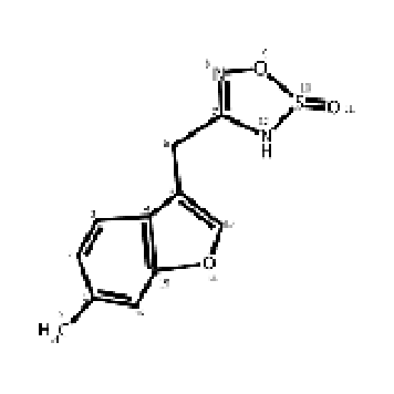 Cc1ccc2c(CC3=NOS(=O)N3)coc2c1